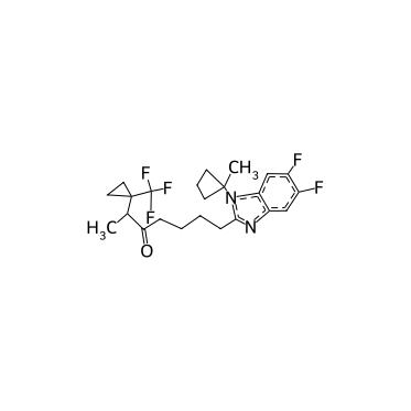 CC(C(=O)CCCCc1nc2cc(F)c(F)cc2n1C1(C)CCC1)C1(C(F)(F)F)CC1